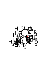 C=C1CC[C@H](C)C(C[C@H]2CC(N(C)C)C(C)[C@@H](C)C2)[C@@H](CCNCCN(N)/C=C(\N)c2ccccc2N)C[C@@H](C)C(=C)/C=C/C(C)=C/[C@H](C)[C@@H](CC)C1